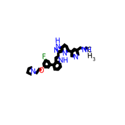 CCNCc1cncc(-c2ccc3[nH]nc(-c4cc5c(-c6cc(F)cc(OCCN7CCCC7)c6)cccc5[nH]4)c3n2)c1